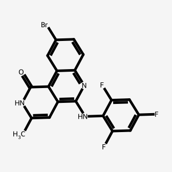 Cc1cc2c(Nc3c(F)cc(F)cc3F)nc3ccc(Br)cc3c2c(=O)[nH]1